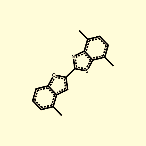 Cc1cccc2oc(-c3nc4c(C)ccc(C)c4s3)cc12